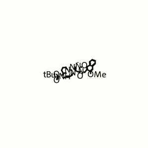 CC#CCn1c(N2CCCC(NC(=O)OC(C)(C)C)C2)nc2c1c(=O)n(Cc1cc3ccccc3cc1OC)c(=O)n2C